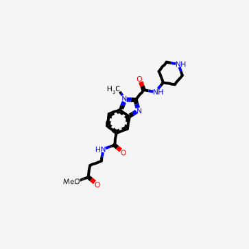 COC(=O)CCNC(=O)c1ccc2c(c1)nc(C(=O)NC1CCNCC1)n2C